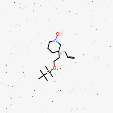 C=CC[C@]1(CCO[Si](C)(C)C(C)(C)C)CCCN(O)C1